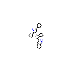 c1ccc(-c2cnc3c4ccccc4c4cc(-c5cc6ccccc6cn5)c5ccccc5c4c3c2)cc1